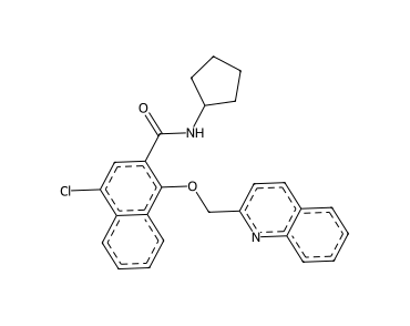 O=C(NC1CCCC1)c1cc(Cl)c2ccccc2c1OCc1ccc2ccccc2n1